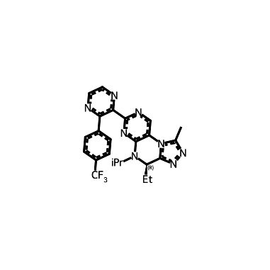 CC[C@@H]1c2nnc(C)n2-c2cnc(-c3nccnc3-c3ccc(C(F)(F)F)cc3)nc2N1C(C)C